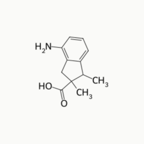 CC1c2cccc(N)c2CC1(C)C(=O)O